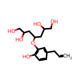 C=CCc1ccc(O)c(OC(CC(O)CO)CC(O)CO)c1